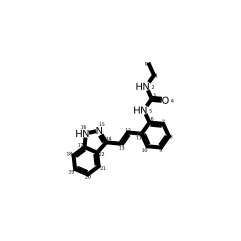 CCNC(=O)Nc1ccccc1C=Cc1n[nH]c2ccccc12